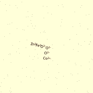 [Co+2].[Fe+2].[O-2].[O-2].[O-2].[Zn+2]